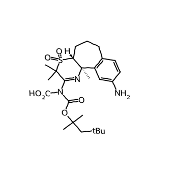 CC(C)(C)CC(C)(C)OC(=O)N(C(=O)O)C1=N[C@]2(C)c3cc(N)ccc3CCC[C@H]2S(=O)(=O)C1(C)C